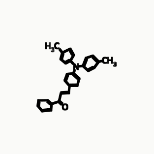 Cc1ccc(N(c2ccc(C)cc2)c2ccc(C=CC(=O)c3ccccc3)cc2)cc1